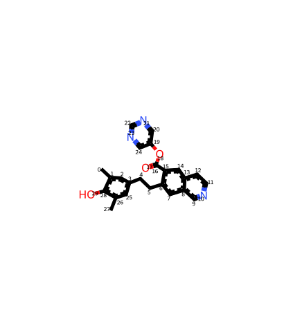 Cc1cc(CCc2cc3cnccc3cc2C(=O)Oc2cncnc2)cc(C)c1O